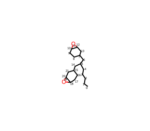 CCCCC[C](CC1CCC2OC2C1)CC1CCC2OC2C1